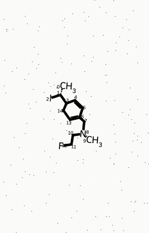 C[C@@H](I)C1C=CC(CN(C)CCF)=CC1